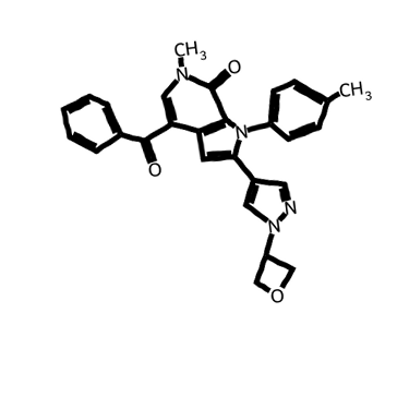 Cc1ccc(-n2c(-c3cnn(C4COC4)c3)cc3c(C(=O)c4ccccc4)cn(C)c(=O)c32)cc1